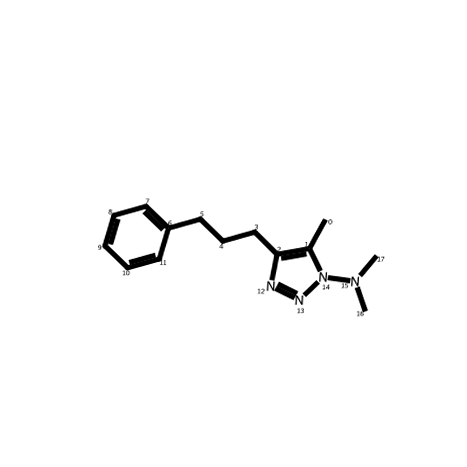 Cc1c(CCCc2ccccc2)nnn1N(C)C